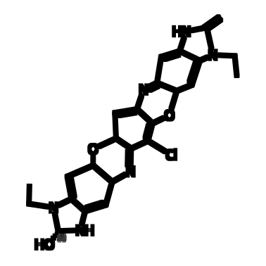 C=C1NC2=CC3=NC4=CC5OC6C=C7C(=CC6N=C5C(Cl)=C4OC3C=C2N1CC)N[C@H](O)N7CC